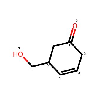 O=C1CC=CC(CO)C1